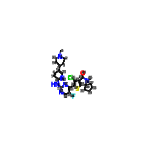 CN1CCC(c2ccc(Nc3ncc(F)c(-c4sc5c(c4Cl)C(=O)N(C)C54CCCC4)n3)nc2)CC1